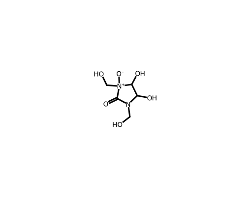 O=C1N(CO)C(O)C(O)[N+]1([O-])CO